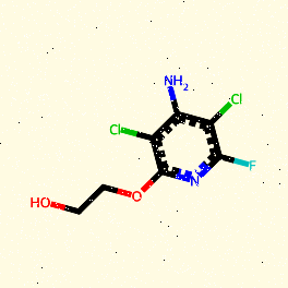 Nc1c(Cl)c(F)nc(OCCO)c1Cl